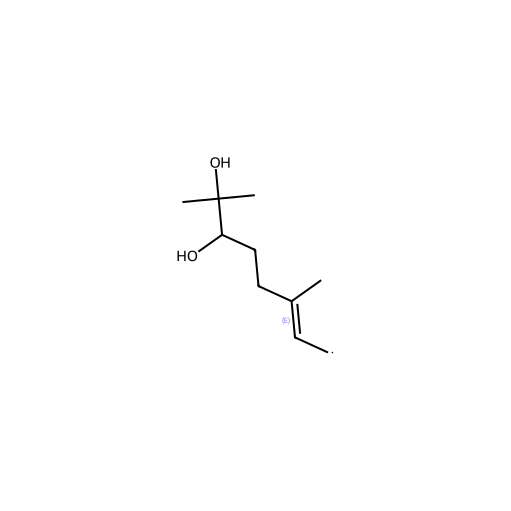 [CH2]/C=C(\C)CCC(O)C(C)(C)O